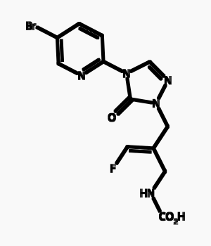 O=C(O)NCC(=CF)Cn1ncn(-c2ccc(Br)cn2)c1=O